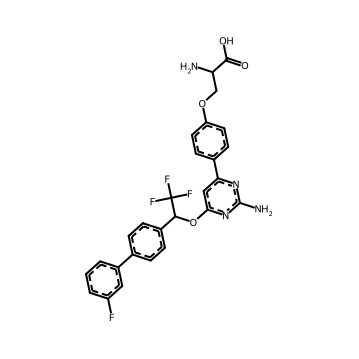 Nc1nc(OC(c2ccc(-c3cccc(F)c3)cc2)C(F)(F)F)cc(-c2ccc(OCC(N)C(=O)O)cc2)n1